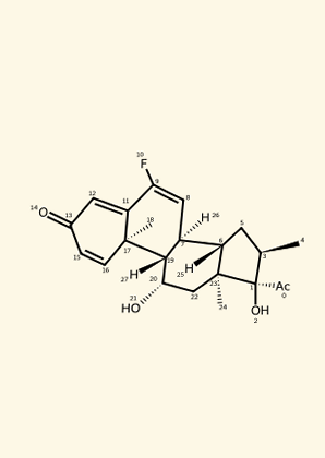 CC(=O)[C@@]1(O)[C@H](C)C[C@H]2[C@@H]3C=C(F)C4=CC(=O)C=C[C@]4(C)[C@H]3[C@@H](O)C[C@@]21C